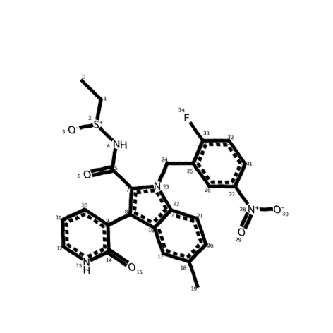 CC[S+]([O-])NC(=O)c1c(-c2ccc[nH]c2=O)c2cc(C)ccc2n1Cc1cc([N+](=O)[O-])ccc1F